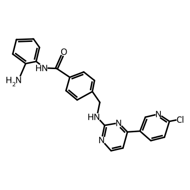 Nc1ccccc1NC(=O)c1ccc(CNc2nccc(-c3ccc(Cl)nc3)n2)cc1